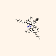 CCCCCCCCc1cc(CCCC)cc(C2=C(CCCC)C(CCCCCC)=C(c3cc(CCCC)cc(CCCCCCCC)c3)[N+]2=[N-])c1.[H-].[H-].[Ni]